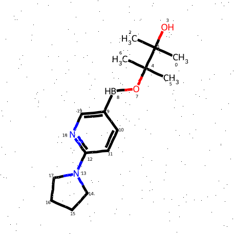 CC(C)(O)C(C)(C)OBc1ccc(N2CCCC2)nc1